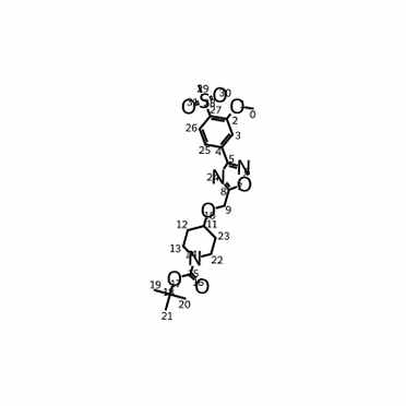 COc1cc(-c2noc(COC3CCN(C(=O)OC(C)(C)C)CC3)n2)ccc1S(C)(=O)=O